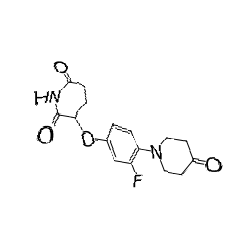 O=C1CCN(c2ccc(OC3CCC(=O)NC3=O)cc2F)CC1